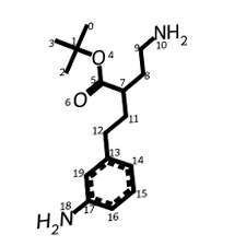 CC(C)(C)OC(=O)C(CCN)CCc1cccc(N)c1